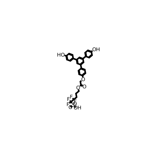 O=C(COc1ccc(-c2cc(-c3ccc(O)cc3)cc(-c3ccc(O)cc3)c2)cc1)OCCCC(F)(F)C(F)(F)S(=O)(=O)O